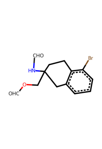 O=CNC1(COC=O)CCc2c(Br)cccc2C1